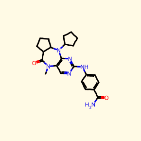 CN1C(=O)C2CCCC2N(C2CCCC2)c2nc(Nc3ccc(C(N)=O)cc3)ncc21